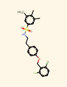 Cc1cc(S(=O)(=O)NCCc2ccc(OCc3c(F)cccc3Cl)cc2)cc(C(=O)O)c1C